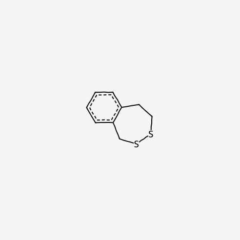 c1ccc2c(c1)CCSSC2